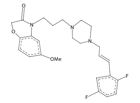 COc1ccc2c(c1)N(CCCN1CCN(C/C=C/c3cc(F)ccc3F)CC1)C(=O)CO2